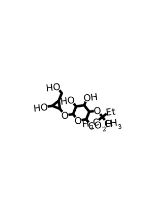 CCC(C)(C)OC1C(C(=O)O)OC(OC2C(O)C2CO)C(O)C1O